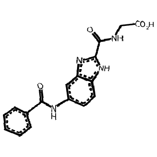 O=C(O)CNC(=O)c1nc2cc(NC(=O)c3ccccc3)ccc2[nH]1